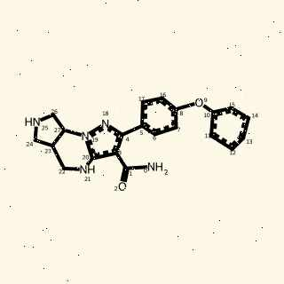 NC(=O)c1c(-c2ccc(Oc3ccccc3)cc2)nn2c1NCC1CNCC12